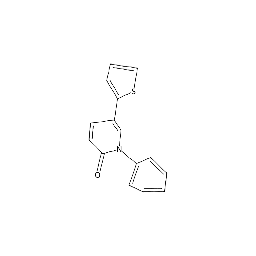 O=c1ccc(-c2cccs2)cn1-c1ccccc1